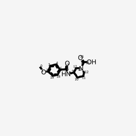 COc1ccc(C(=O)NC2CCCN(C(=O)O)C2)cc1